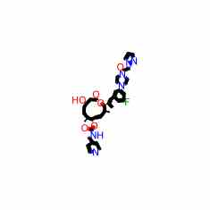 C/C(=C\c1cc(F)cc(N2CCN(C(=O)Cn3cccn3)CC2)c1)[C@H]1OC(=O)C[C@H](O)CC[C@H](C)[C@@H](OC(=O)NCc2ccncc2)/C=C/[C@@H]1C